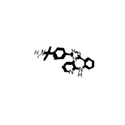 CC(C)(N)c1ccc(-c2nnc3n2-c2cccnc2Nc2ccccc2-3)cc1